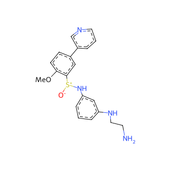 COc1ccc(-c2cccnc2)cc1[S+]([O-])Nc1cccc(NCCN)c1